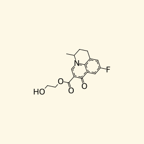 CC1CCc2cc(F)cc3c(=O)c(C(=O)OCCO)cn1c23